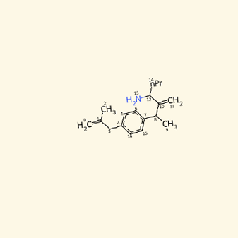 C=C(C)Cc1ccc(C(C)C(=C)C(N)CCC)cc1